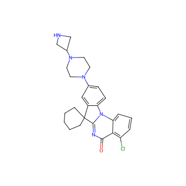 O=c1nc2n(c3cccc(Cl)c13)-c1ccc(N3CCN(C4CNC4)CC3)cc1C21CCCCC1